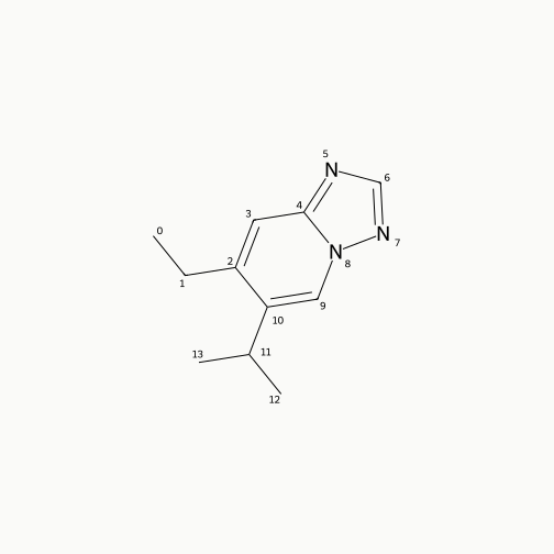 CCc1cc2ncnn2cc1C(C)C